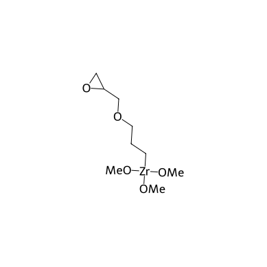 C[O][Zr]([CH2]CCOCC1CO1)([O]C)[O]C